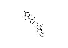 CC1CC2(C)CC1(C)[C@H](C)N2c1ccc(CC2C(C)C3(C)CC2(C)[C@H](C)N3c2cccn2C)n1C